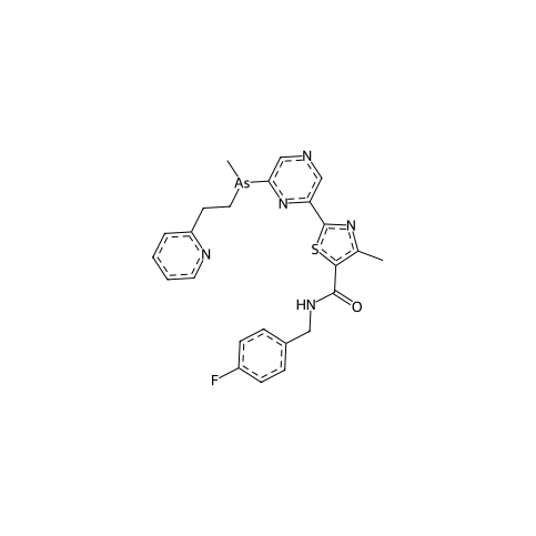 Cc1nc(-c2cncc([As](C)CCc3ccccn3)n2)sc1C(=O)NCc1ccc(F)cc1